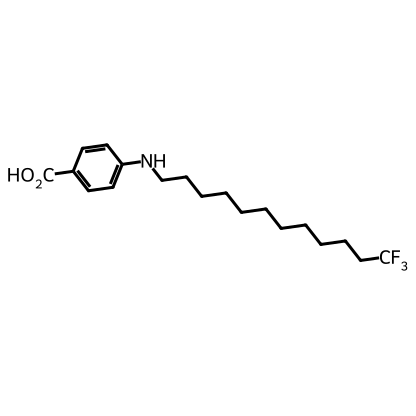 O=C(O)c1ccc(NCCCCCCCCCCCC(F)(F)F)cc1